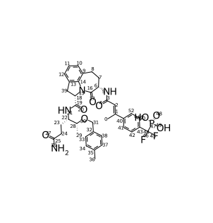 C/C(=C\C(=O)N[C@H]1CCc2cccc3c2N(C1=O)[C@H](C(=O)N[C@@H](CCC(N)=O)[C@@H](C)OCc1ccc(C)cc1)C3)c1ccc(C(F)(F)P(=O)(O)O)cc1